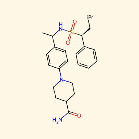 CC(C)C[C@@H](c1ccccc1)S(=O)(=O)NC(C)c1ccc(N2CCC(C(N)=O)CC2)cc1